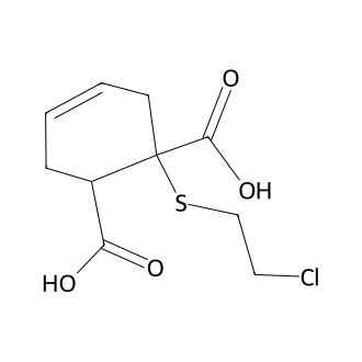 O=C(O)C1CC=CCC1(SCCCl)C(=O)O